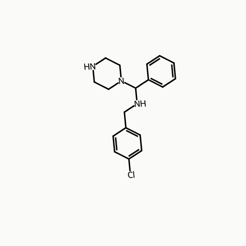 Clc1ccc(CNC(c2ccccc2)N2CCNCC2)cc1